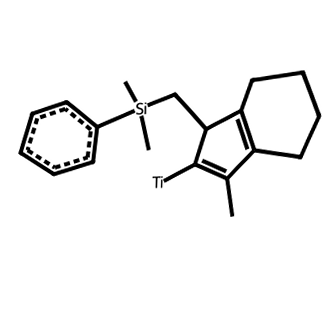 CC1=[C]([Ti])C(C[Si](C)(C)c2ccccc2)C2=C1CCCC2